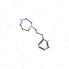 c1ccc(CCCN2CCCNCC2)cc1